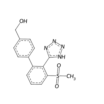 CS(=O)(=O)c1cccc(-c2ccc(CO)cc2)c1-c1nnn[nH]1